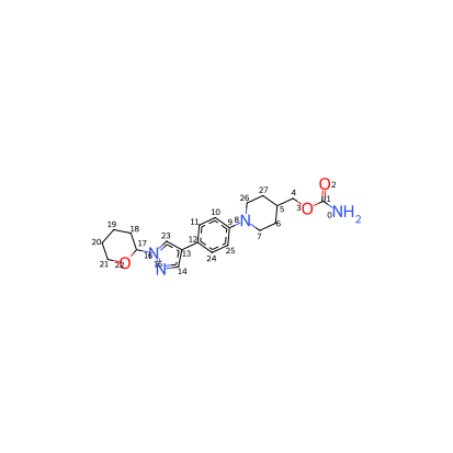 NC(=O)OCC1CCN(c2ccc(-c3cnn(C4CCCCO4)c3)cc2)CC1